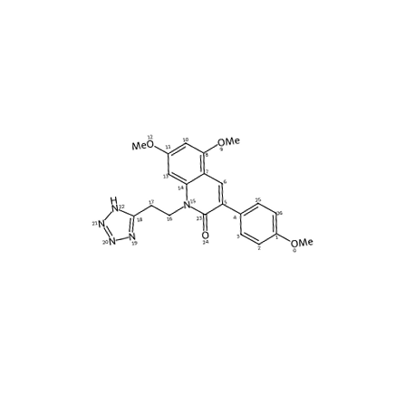 COc1ccc(-c2cc3c(OC)cc(OC)cc3n(CCc3nnn[nH]3)c2=O)cc1